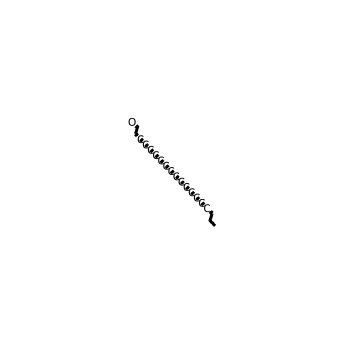 CCC=C=C=C=C=C=C=C=C=C=C=C=C=C=C=CC=O